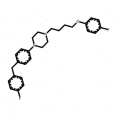 Fc1ccc(Cc2ccc(N3CCN(CCCCOc4ccc(F)cc4)CC3)cc2)cc1